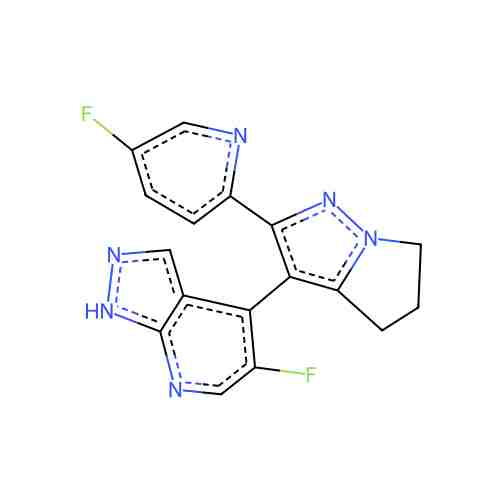 Fc1ccc(-c2nn3c(c2-c2c(F)cnc4[nH]ncc24)CCC3)nc1